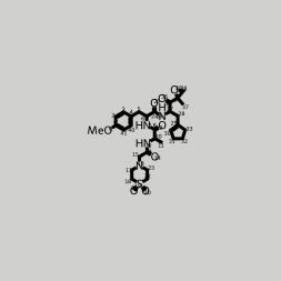 COc1ccc(CC(NC(=O)C(C)NC(=O)CN2CCS(=O)(=O)CC2)C(=O)NC(CC2=CCCC2)C(=O)C2(C)CO2)cc1